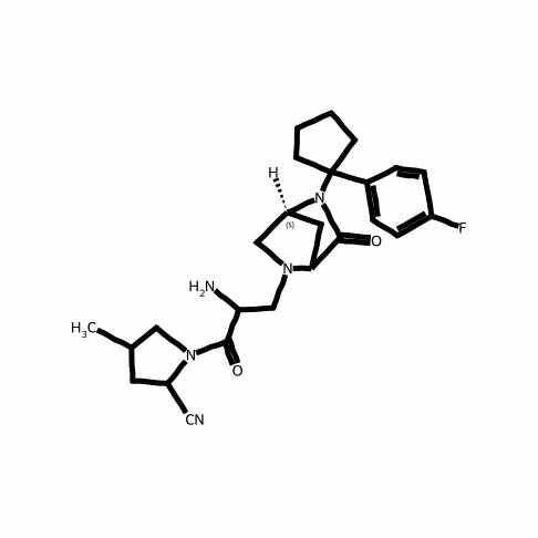 CC1CC(C#N)N(C(=O)C(N)CN2C[C@@H]3CC2C(=O)N3C2(c3ccc(F)cc3)CCCC2)C1